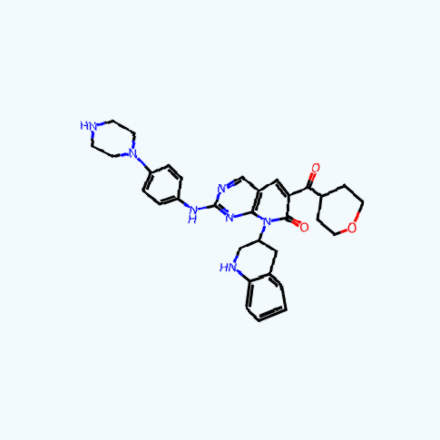 O=C(c1cc2cnc(Nc3ccc(N4CCNCC4)cc3)nc2n(C2CNc3ccccc3C2)c1=O)C1CCOCC1